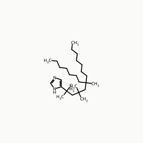 CCCCCCCC(C)(CCCCCCC)CC(C)(C)CC(C)(C)c1cnc[nH]1